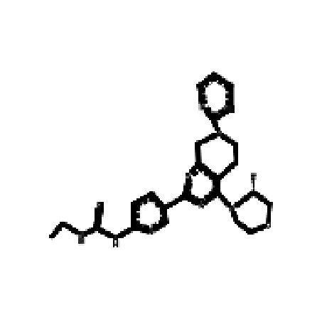 CCNC(=O)Nc1ccc(-c2nc3c(c(N4CCOC[C@H]4C)n2)CCN(c2ncccn2)C3)cn1